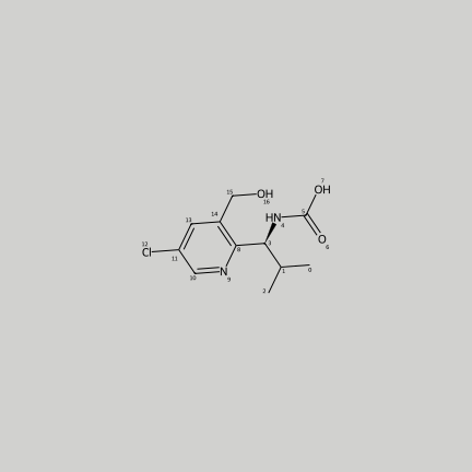 CC(C)[C@H](NC(=O)O)c1ncc(Cl)cc1CO